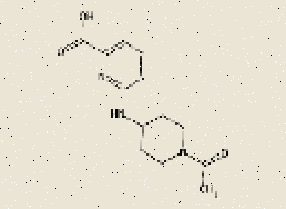 CC(=O)N1CCC(Nc2cccc(C(=O)O)n2)CC1